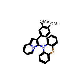 COc1ccc(-c2cc3ccccn3c2N2c3ccccc3Sc3ccccc32)cc1OC